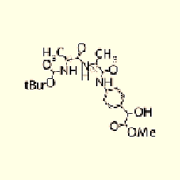 COC(=O)C(O)c1ccc(NC(=O)[C@H](C)NC(=O)[C@H](C)NC(=O)OC(C)(C)C)cc1